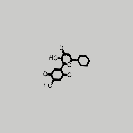 O=C1C=C(c2oc(C3CCCCC3)cc(=O)c2O)C(=O)C=C1O